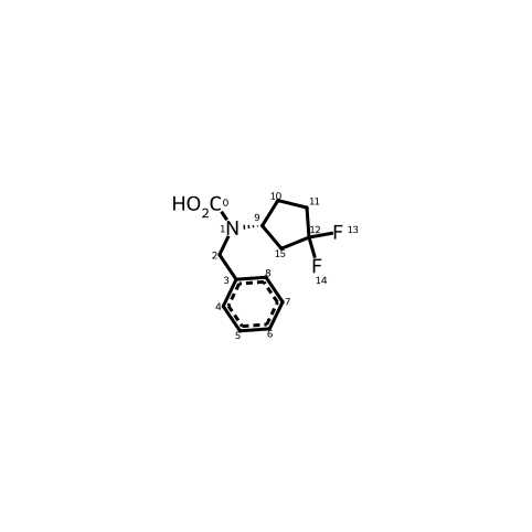 O=C(O)N(Cc1ccccc1)[C@@H]1CCC(F)(F)C1